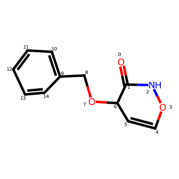 O=C1NOC=CC1OCc1ccccc1